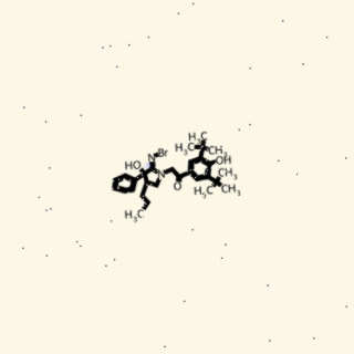 CCCC1CN(CC(=O)c2cc(C(C)(C)C)c(O)c(C(C)(C)C)c2)/C(=N\Br)C1(O)c1ccccc1